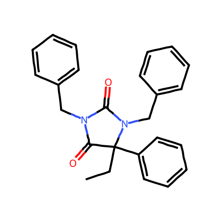 CCC1(c2ccccc2)C(=O)N(Cc2ccccc2)C(=O)N1Cc1ccccc1